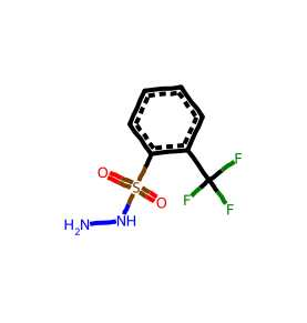 NNS(=O)(=O)c1ccccc1C(F)(F)F